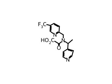 CC(c1ccncc1)N(Cc1ccc(C(F)(F)F)cn1)C(=O)C(=O)O